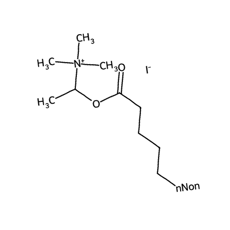 CCCCCCCCCCCCCC(=O)OC(C)[N+](C)(C)C.[I-]